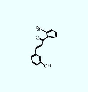 O=C(/C=C/c1cccc(O)c1)c1ccccc1Br